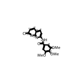 COc1cc(C(=O)Nc2ccc3ccc(Cl)nc3n2)cc(OC)c1OC